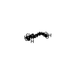 Cc1cc(Nc2ncc(Cl)c(Nc3ccccc3S(=O)(=O)C(C)C)n2)c(OC(C)C)cc1N1CCC(N2CCN(Cc3ccc(N4CCC(=O)NC4=O)cc3)CC2)CC1